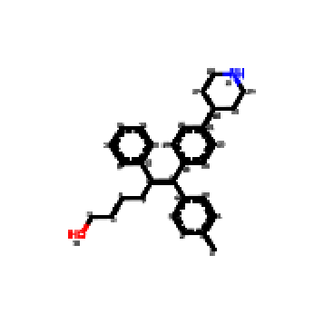 Cc1ccc(/C(=C(\CCCCO)c2ccccc2)c2ccc(C3CCNCC3)cc2)cc1